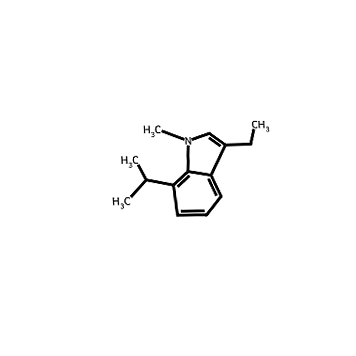 CCc1cn(C)c2c(C(C)C)cccc12